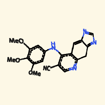 COc1cc(Nc2c(C#N)cnc3c2C=C2N=CN=C2C3)cc(OC)c1OC